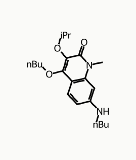 CCCCNc1ccc2c(OCCCC)c(OC(C)C)c(=O)n(C)c2c1